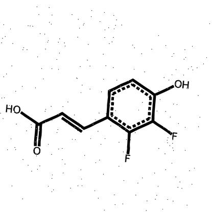 O=C(O)/C=C/c1ccc(O)c(F)c1F